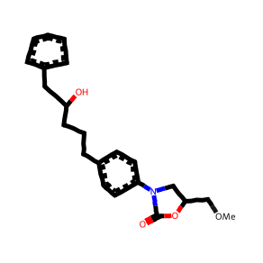 COCC1CN(c2ccc(CCCC(O)Cc3ccccc3)cc2)C(=O)O1